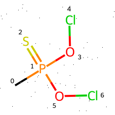 CP(=S)(OCl)OCl